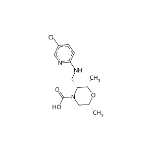 C[C@@H]1CN(C(=O)O)[C@H](CNc2ccc(Cl)cn2)[C@H](C)O1